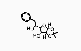 CC1(C)O[C@H]2O[C@H](C(O)Cc3ccccc3)[C@@H](O)[C@H]2O1